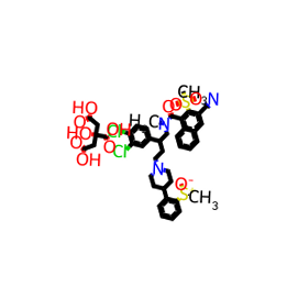 CN(CC(CCN1CCC(c2ccccc2[S@+](C)[O-])CC1)c1ccc(Cl)c(Cl)c1)C(=O)c1c(S(C)(=O)=O)c(C#N)cc2ccccc12.O=C(O)CC(O)(CC(=O)O)C(=O)O